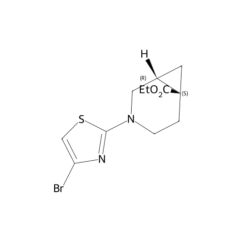 CCOC(=O)[C@@]12CCN(c3nc(Br)cs3)C[C@@H]1C2